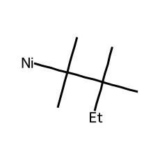 CCC(C)(C)[C](C)(C)[Ni]